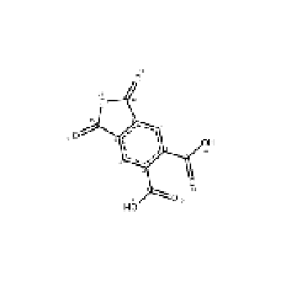 O=C(O)c1cc2c(cc1C(=O)O)C(=O)OC2=O